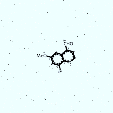 COc1cc(F)c2nccc(C=O)c2c1